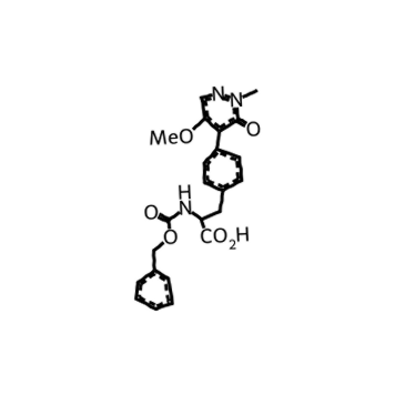 COc1cnn(C)c(=O)c1-c1ccc(CC(NC(=O)OCc2ccccc2)C(=O)O)cc1